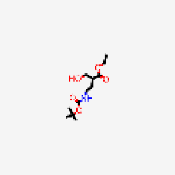 CCOC(=O)C(CO)CCNC(=O)OC(C)(C)C